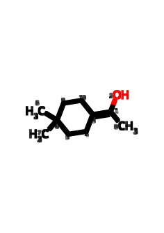 CC(O)=C1CCC(C)(C)CC1